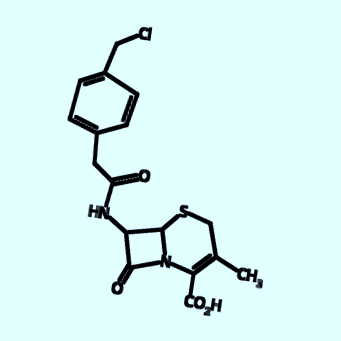 CC1=C(C(=O)O)N2C(=O)C(NC(=O)Cc3ccc(CCl)cc3)C2SC1